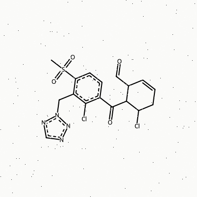 CS(=O)(=O)c1ccc(C(=O)C2C(C=O)C=CCC2Cl)c(Cl)c1Cn1ncnn1